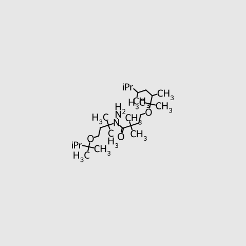 CC(C)C(C)CC(C)C(C)(C)OCCC(C)(C)C(=O)N(N)C(C)(C)CCOC(C)(C)C(C)C